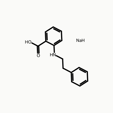 O=C(O)c1ccccc1NCCc1ccccc1.[NaH]